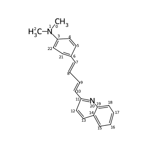 CN(C)c1ccc(C=CC=Cc2ccc3ccccc3n2)cc1